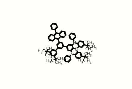 CC(C)(C)c1cc(-c2cc(-c3cc4c5c(c3)N(c3ccccc3)c3ccc(C(C)(C)C)cc3B5c3cc(C(C)(C)C)ccc3N4c3ccccc3)cc(-c3c4ccccc4c(-c4ccccc4)c4ccccc34)c2)cc(C(C)(C)C)c1